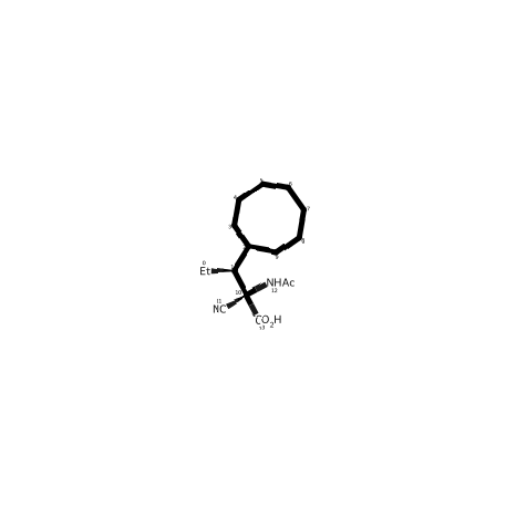 CC[C@@H](C1CCCCCCC1)[C@](C#N)(NC(C)=O)C(=O)O